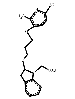 CCc1ccc(OCCCOC2Cc3ccccc3[C@@H]2CC(=O)O)c(C)n1